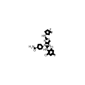 NC(=O)[C@H]1CC[C@H](n2c(Nc3c(Cl)cc(F)cc3Cl)nc3cnc(N[C@H]4CCC(F)(F)C4)nc32)CC1